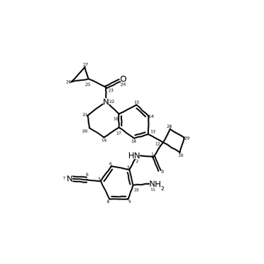 C=C(Nc1cc(C#N)ccc1N)C1(c2ccc3c(c2)CCCN3C(=O)C2CC2)CCC1